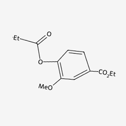 C[CH]C(=O)Oc1ccc(C(=O)OCC)cc1OC